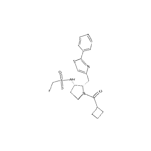 O=C(C1CCC1)N1CC[C@H](NS(=O)(=O)CF)[C@@H]1Cc1csc(-c2ccccc2)n1